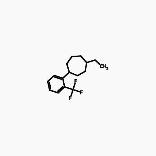 CCC1CCCC(c2ccccc2C(F)(F)F)CC1